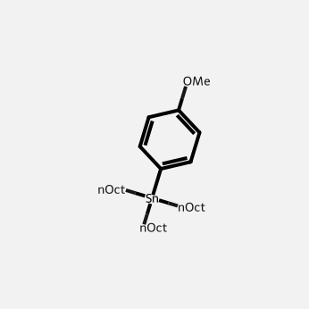 CCCCCCC[CH2][Sn]([CH2]CCCCCCC)([CH2]CCCCCCC)[c]1ccc(OC)cc1